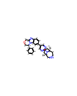 C[C@H]1CC[C@@H]2CNCC[C@H]1N2c1ncc(-c2ccc3nc4n(c3c2)[C@@H](c2ccccc2)COC4)cn1